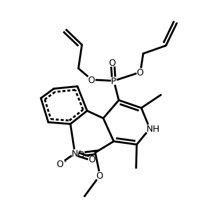 C=CCOP(=O)(OCC=C)C1=C(C)NC(C)=C(C(=O)OC)C1c1ccccc1[N+](=O)[O-]